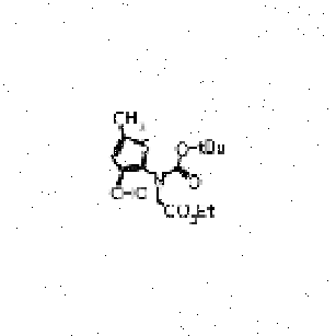 CCOC(=O)CN(C(=O)OC(C)(C)C)c1sc(C)cc1C=O